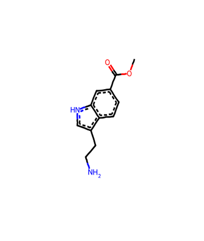 COC(=O)c1ccc2c(CCN)c[nH]c2c1